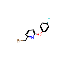 Fc1ccc(Oc2cccc(CBr)n2)cc1